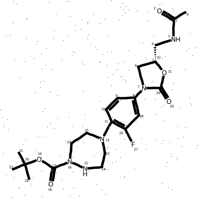 CC(=O)NC[C@H]1CN(c2ccc(N3CCNN(C(=O)OC(C)(C)C)CC3)c(F)c2)C(=O)O1